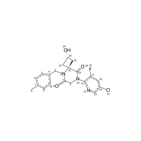 Cc1ccc(CN2C(=O)CN(c3ncc(Cl)cc3F)C(=O)[C@]23C[C@@H](O)C3)cc1